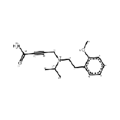 COc1ccccc1CCN(CC#CC(N)=O)C(C)C